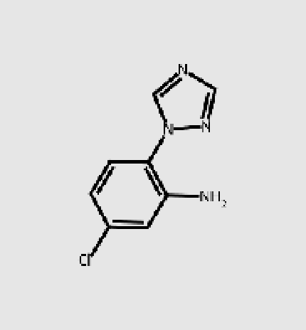 Nc1cc(Cl)ccc1-n1cncn1